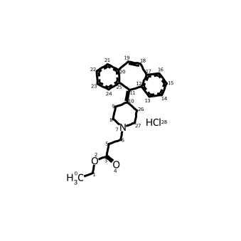 CCOC(=O)CCN1CCC(=C2c3ccccc3C=Cc3ccccc32)CC1.Cl